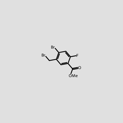 COC(=O)c1cc(CBr)c(Br)cc1F